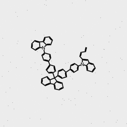 C=C/C=C\c1cc2ccccc2n1-c1ccc(-c2ccc(C3(c4ccc(-c5ccc(-n6c7ccccc7c7ccccc76)cc5)cc4)c4ccccc4-c4ccccc43)cc2)cc1